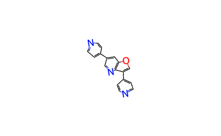 c1cc(-c2cnc3c(-c4ccncc4)coc3c2)ccn1